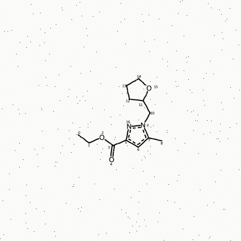 CCOC(=O)c1cc(C)n(CC2CCCO2)n1